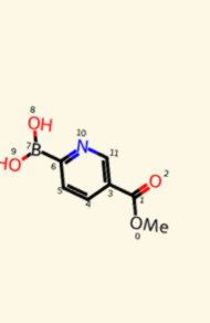 COC(=O)c1ccc(B(O)O)nc1